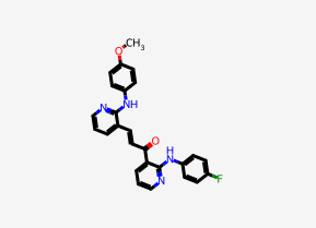 COc1ccc(Nc2ncccc2C=CC(=O)c2cccnc2Nc2ccc(F)cc2)cc1